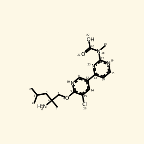 CC(C)CC(C)(N)COc1ncc(-c2ccnc(N(C)C(=O)O)n2)cc1Cl